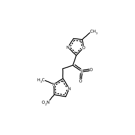 Cc1cnc(C(Cc2ncc([N+](=O)[O-])n2C)=S(=O)=O)o1